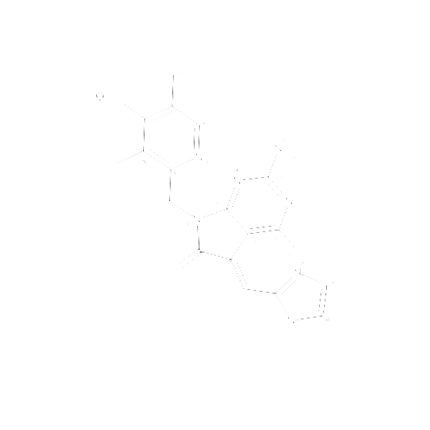 COc1c(C)cnc(CN2C(=O)/C(=C/c3ncc[nH]3)c3c(Cl)nc(N)nc32)c1C